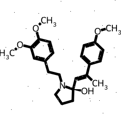 COc1ccc(/C(C)=C/[C@]2(O)CCCN2CCc2ccc(OC)c(OC)c2)cc1